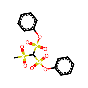 CS(=O)(=O)C(S(=O)(=O)Oc1ccccc1)S(=O)(=O)Oc1ccccc1